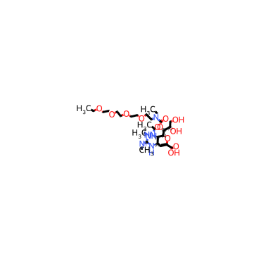 CCOCCOCCOCCOCCN(CC)C(=O)O[C@@H]([C@H]1OC(C(=O)O)=C[C@@H](N/C(=N\C)NC)[C@@H]1NC(C)=O)[C@H](O)CO